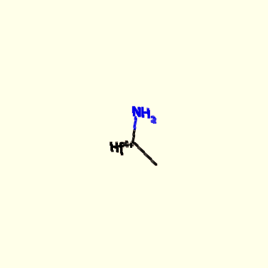 CCN.[Hf+4]